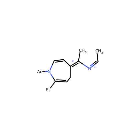 C/C=N\C(C)=C1\C=CN(C(C)=O)C(CC)=CC1